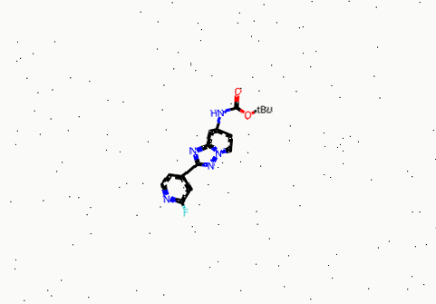 CC(C)(C)OC(=O)Nc1ccn2nc(-c3ccnc(F)c3)nc2c1